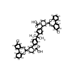 CC(C)(c1ccc(C2CN(C3=Nc4cc(Cl)ccc4-c4ccccc4O3)CCN2C(=O)O)cc1)c1ccc(C2CN(C3=Nc4cc(Cl)ccc4-c4ccccc4O3)CCN2C(=O)O)cc1